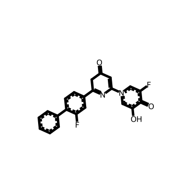 O=C1C=C(n2cc(O)c(=O)c(F)c2)N=C(c2ccc(-c3ccccc3)c(F)c2)C1